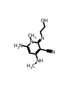 CNc1cc(N)n(C)c(=NCCO)c1C#N